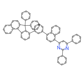 c1ccc(-c2cc(-c3ccc(-c4cccc(-c5cccc6c5C(c5ccccc5)(c5ccccc5)c5ccc7ccccc7c5-6)c4)c4ccccc34)nc(-c3ccccc3)n2)cc1